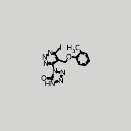 Cc1ccccc1OCc1c(I)nnnc1-n1nn[nH]c1=O